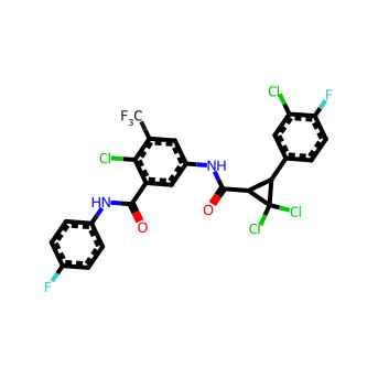 O=C(Nc1ccc(F)cc1)c1cc(NC(=O)C2C(c3ccc(F)c(Cl)c3)C2(Cl)Cl)cc(C(F)(F)F)c1Cl